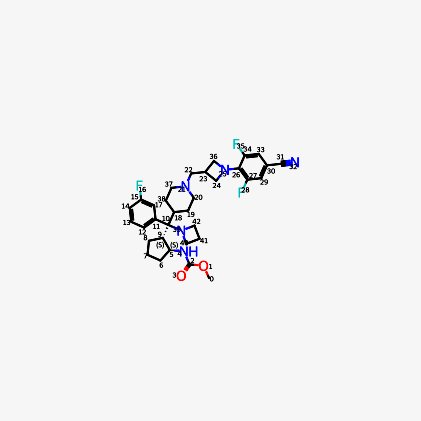 COC(=O)N[C@H]1CCC[C@@H]1C(c1cccc(F)c1)(C1CCN(CC2CN(c3c(F)cc(C#N)cc3F)C2)CC1)N1CCC1